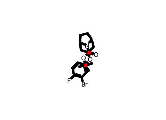 CC(C)(C)OC(=O)N1C2CCC1CC(Oc1ccc(F)c(Br)c1)C2